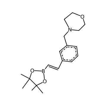 CC1(C)OB(C=Cc2cccc(CN3CCOCC3)c2)OC1(C)C